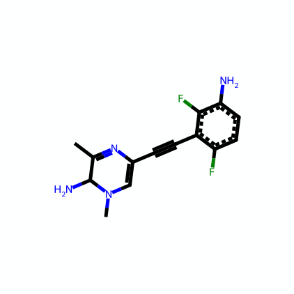 CC1=NC(C#Cc2c(F)ccc(N)c2F)=CN(C)C1N